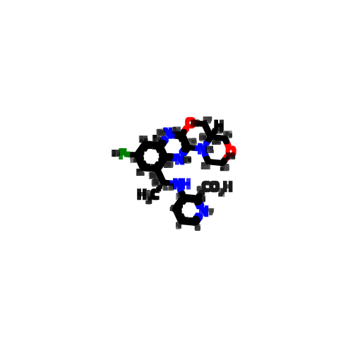 C[C@@H](Nc1cccnc1C(=O)O)c1cc(F)cc2nc3c(nc12)N1CCOC[C@H]1CO3